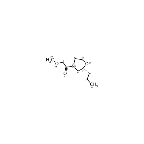 CCC[C@@H]1CN(C(=O)COC)CCO1